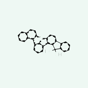 CC1(C)c2ccccc2-c2ccc3c(c21)c1cccc2c4c5ccccc5ccc4n3c12